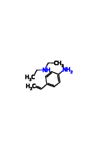 C=Cc1ccc(N)cc1.CCNCC